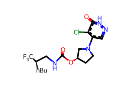 CCCC[C@H](CNC(=O)O[C@@H]1CCN(c2cn[nH]c(=O)c2Cl)C1)C(F)(F)F